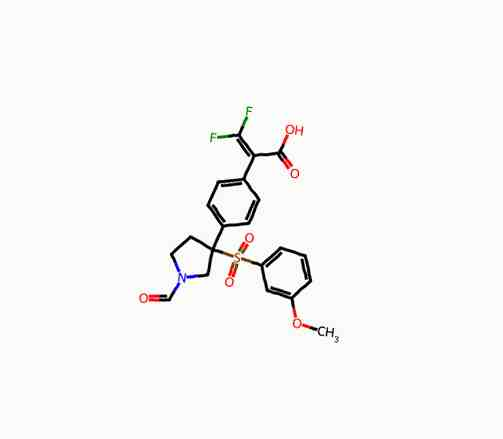 COc1cccc(S(=O)(=O)C2(c3ccc(C(C(=O)O)=C(F)F)cc3)CCN(C=O)C2)c1